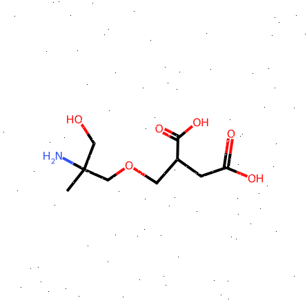 CC(N)(CO)COCC(CC(=O)O)C(=O)O